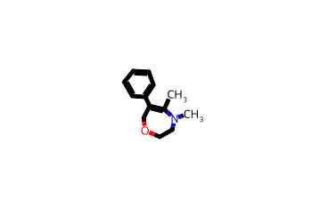 CC1=C(c2ccccc2)COCCN1C